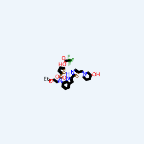 CCOCCN(c1cccc2cc(-c3ncc(CN4CCCC(O)C4)s3)[nH]c12)S(=O)(=O)c1cccs1.O=C(O)C(F)(F)F